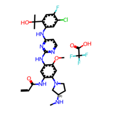 C=CC(=O)Nc1cc(Nc2nccc(Nc3cc(Cl)c(F)cc3C(C)(C)O)n2)c(OC)cc1N1CC[C@@H](NC)C1.O=C(O)C(F)(F)F